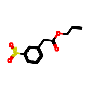 C=CCOC(=O)Cc1cccc([SH](=O)=O)c1